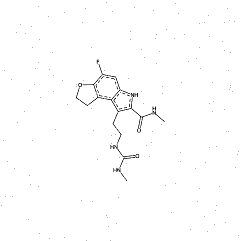 CNC(=O)NCCc1c(C(=O)NC)[nH]c2cc(F)c3c(c12)CCO3